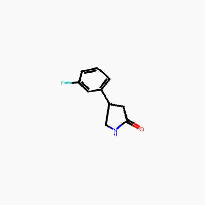 O=C1CC(c2cccc(F)c2)CN1